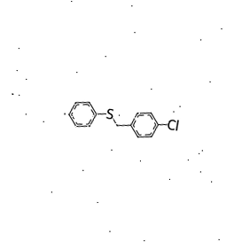 Clc1ccc(CSc2cc[c]cc2)cc1